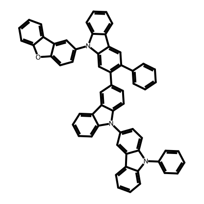 c1ccc(-c2cc3c4ccccc4n(-c4ccc5oc6ccccc6c5c4)c3cc2-c2ccc3c(c2)c2ccccc2n3-c2ccc3c(c2)c2ccccc2n3-c2ccccc2)cc1